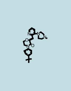 CN1CCN(c2cccnc2C=C2OCCN(c3ccc(C(C)(C)C)cc3)C2=O)CC1